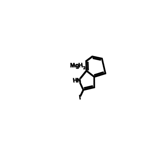 Ic1cc2ccccc2[nH]1.[MgH2]